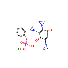 O=C1C=C(N2CC2)C(=O)C(N2CC2)=C1N1CC1.O=P(O)(OCl)Oc1ccccc1